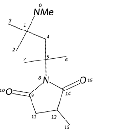 CNC(C)(C)CC(C)(C)N1C(=O)CC(C)C1=O